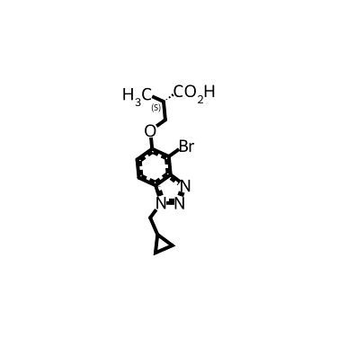 C[C@@H](COc1ccc2c(nnn2CC2CC2)c1Br)C(=O)O